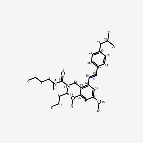 CCCCNC(=O)N(CCCC)Cc1c(/C=C/c2ccc(CC(C)C)cc2)cc(OC)cc1OC